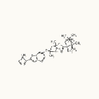 Cn1cccc1-c1cc2ccc(OC(C)(S)CC(C)(C)OC(=O)C(C)(CC(C)(C)C)C(C)(C)C)cc2o1